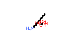 CCCCCCCCCCCCN.O[Si](O)(O)O